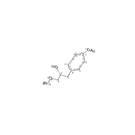 CC(=O)Oc1ccc(CC(O)COC(C)C)cc1